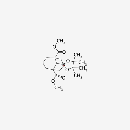 COC(=O)C12CCCC(C(=O)OC)(CCC1)C2B1OC(C)(C)C(C)(C)O1